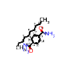 CCCCCCCCCC.NC(=O)c1ccc(C(N)=O)cc1